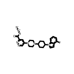 [N-]=[N+]=NC(=O)c1cc(N2CCN(C3CCC(n4ccc5c(F)cccc54)CC3)CC2)cnn1